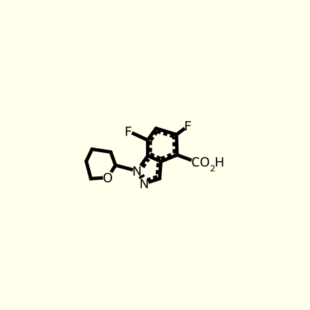 O=C(O)c1c(F)cc(F)c2c1cnn2C1CCCCO1